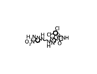 Nc1nc(NCCNc2ncc(N3C(=O)CNCC3=O)c(-c3ccc(Cl)cc3Cl)n2)ccc1[N+](=O)[O-]